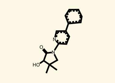 CC1(C)CN(c2ccc(-c3ccccc3)cn2)C(=O)C1O